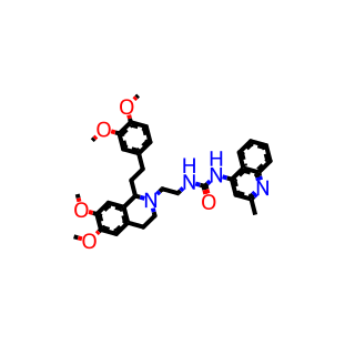 COc1ccc(CCC2c3cc(OC)c(OC)cc3CCN2CCNC(=O)Nc2cc(C)nc3ccccc23)cc1OC